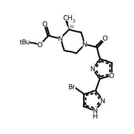 C[C@H]1CN(C(=O)c2coc(-c3n[nH]cc3Br)n2)CCN1C(=O)OC(C)(C)C